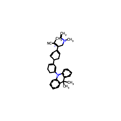 C=CN(C)C/C(C1=CCC(C2=CCCC(N3c4ccccc4C(C)(C)c4ccccc43)=C2)C=C1)=C(\C)C#N